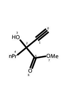 C#CC(O)(CCC)C(=O)OC